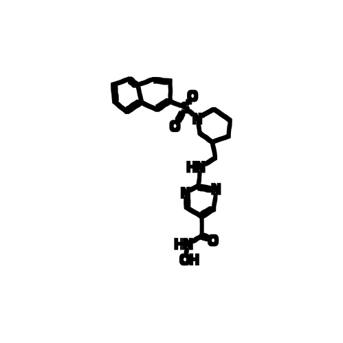 O=C(NO)c1cnc(NCC2CCCN(S(=O)(=O)c3ccc4ccccc4c3)C2)nc1